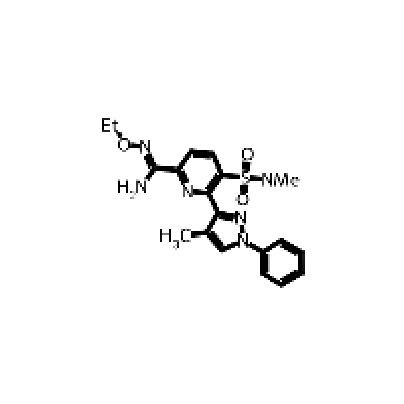 CCO/N=C(\N)c1ccc(S(=O)(=O)NC)c(-c2nn(-c3ccccc3)cc2C)n1